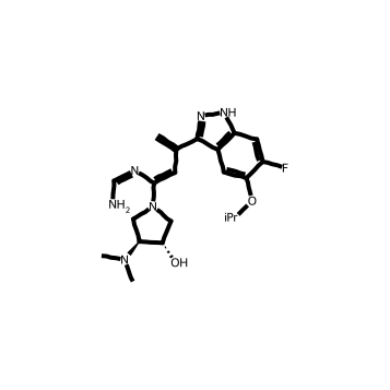 C=C(/C=C(\N=C/N)N1C[C@H](O)[C@@H](N(C)C)C1)c1n[nH]c2cc(F)c(OC(C)C)cc12